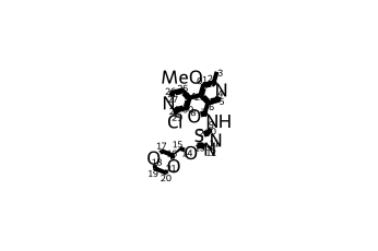 COc1c(C)ncc(C(=O)Nc2nnc(OC[C@@H]3COCCO3)s2)c1-c1ccnc(Cl)c1